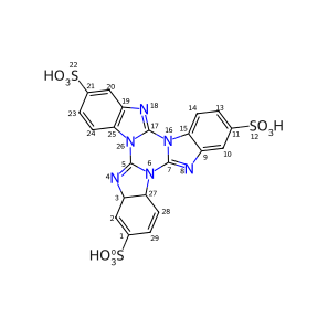 O=S(=O)(O)C1=CC2N=C3N(c4nc5cc(S(=O)(=O)O)ccc5n4-c4nc5cc(S(=O)(=O)O)ccc5n43)C2C=C1